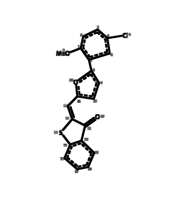 COc1ccc(Cl)cc1-c1ccc(C=C2Sc3ccccc3C2=O)o1